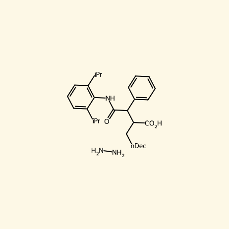 CCCCCCCCCCCC(C(=O)O)C(C(=O)Nc1c(C(C)C)cccc1C(C)C)c1ccccc1.NN